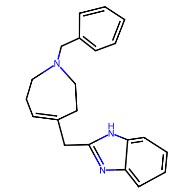 C1=C(Cc2nc3ccccc3[nH]2)CCN(Cc2ccccc2)CC1